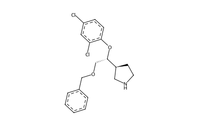 Clc1ccc(O[C@@H](COCc2ccccc2)[C@H]2CCNC2)c(Cl)c1